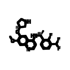 COc1cc2nccc(N[C@H](C)c3cccc(C(F)F)c3F)c2cc1O[C@H]1CCNC1